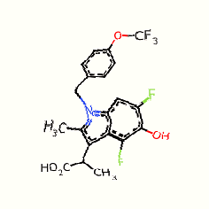 Cc1c(C(C)C(=O)O)c2c(F)c(O)c(F)cc2n1Cc1ccc(OC(F)(F)F)cc1